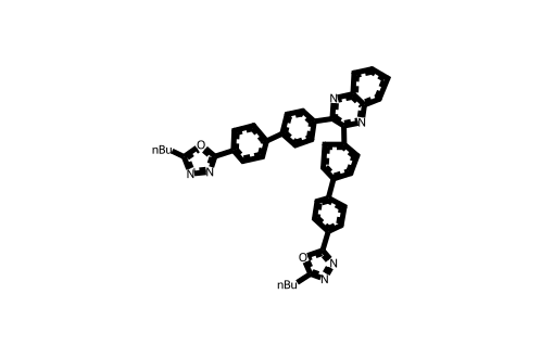 CCCCc1nnc(-c2ccc(-c3ccc(-c4nc5ccccc5nc4-c4ccc(-c5ccc(-c6nnc(CCCC)o6)cc5)cc4)cc3)cc2)o1